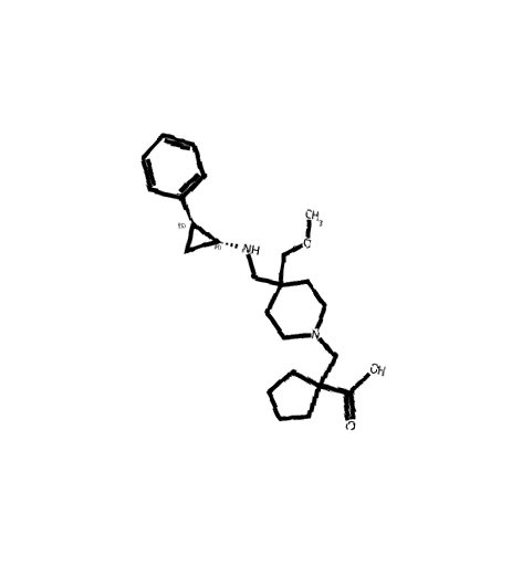 COCC1(CN[C@@H]2C[C@H]2c2ccccc2)CCN(CC2(C(=O)O)CCCC2)CC1